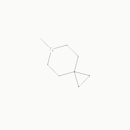 C[C@@H]1CN(C)CCC12CC2